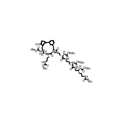 CC(C)(C)OC(=O)NCCC[C@@H](CNC(=O)[C@H](CCCNC(=O)[C@H](CCNC(=O)[C@@H]1Cc2cccc(c2)-c2ccc(O)c(c2)C[C@H](NC(=O)OC(C)(C)C)C(=O)N[C@@H](CCCNC(=O)OC(C)(C)C)C(=O)N1)NC(=O)OC(C)(C)C)NC(=O)OC(C)(C)C)NC(=O)OC(C)(C)C